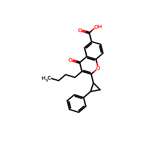 CCCCc1c(C2CC2c2ccccc2)oc2ccc(C(=O)O)cc2c1=O